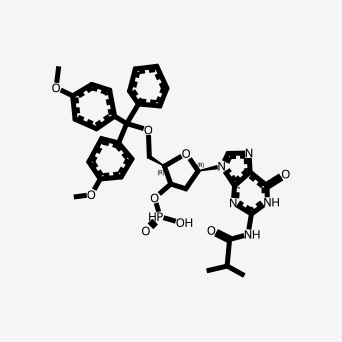 COc1ccc(C(OC[C@H]2O[C@@H](n3cnc4c(=O)[nH]c(NC(=O)C(C)C)nc43)CC2O[PH](=O)O)(c2ccccc2)c2ccc(OC)cc2)cc1